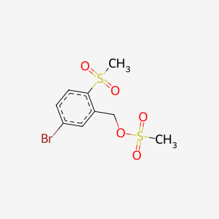 CS(=O)(=O)OCc1cc(Br)ccc1S(C)(=O)=O